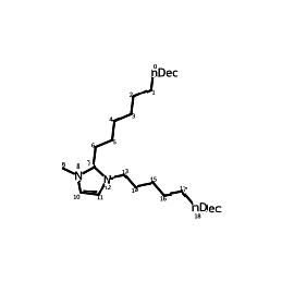 CCCCCCCCCCCCCCCCC1N(C)C=CN1CCCCCCCCCCCCCCC